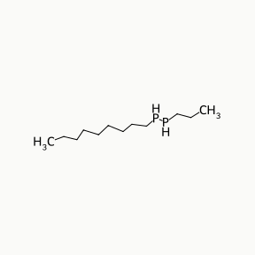 CCCCCCCCCPPCCC